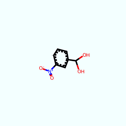 O=[N+]([O-])c1[c]ccc(C(O)O)c1